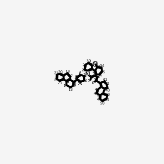 C/C(=C\C=C(/C)N(c1ccc(C2=CCCc3c2ccc2ccccc32)cc1)c1cccc2oc3ccccc3c12)c1cccc2c1ccc1ccccc12